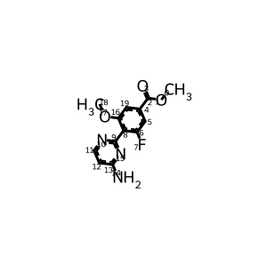 COC(=O)c1cc(F)c(-c2nccc(N)n2)c(OC)c1